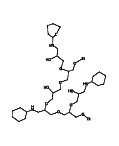 CCOCC(COCC(O)COC(CNC1CCCCC1)COCC(COCC)OCC(O)CNC1CCCCC1)OCC(O)CNC1CCCCC1